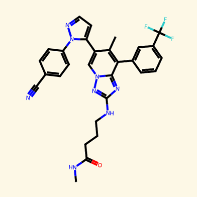 CNC(=O)CCCNc1nc2c(-c3cccc(C(F)(F)F)c3)c(C)c(-c3ccnn3-c3ccc(C#N)cc3)cn2n1